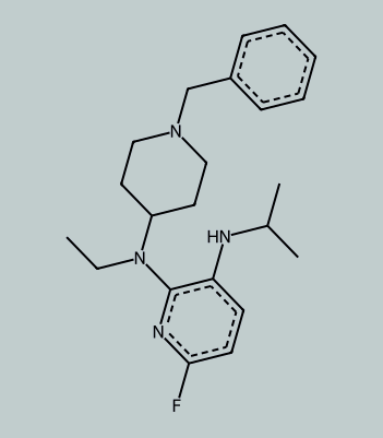 CCN(c1nc(F)ccc1NC(C)C)C1CCN(Cc2ccccc2)CC1